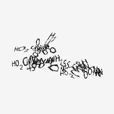 CC1(C)S[C@@H]2[C@H](NC(=O)[C@H](N)c3ccccc3)C(=O)N2[C@H]1C(=O)O.CC1(C)S[C@@H]2[C@H](NC(=O)[C@H](N)c3ccccc3)C(=O)N2[C@H]1C(=O)O.Cc1nnc(SCC2=C(C(=O)O)N3C(=O)[C@@H](NC(=O)Cn4cnnn4)[C@H]3SC2)s1